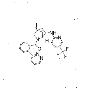 O=C(c1ccccc1-c1cccnn1)N1C[C@@H]2C[C@@H](Nc3ccc(C(F)(F)F)cn3)[C@@H]1C2